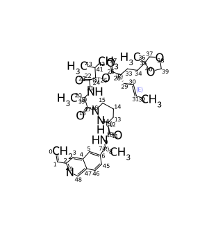 C=Cc1cc2cc([C@@H](C)NC(=O)[C@@H]3CCCN(C(=O)[C@H](C)NC(=O)[C@@H](OC(=O)[C@@H](C/C=C/C)CCC4(C)COCO4)C(C)C)N3)ccc2cn1